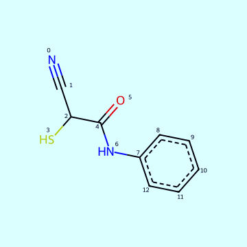 N#CC(S)C(=O)Nc1ccccc1